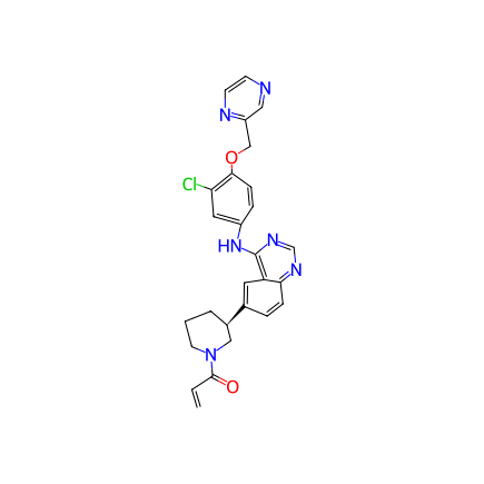 C=CC(=O)N1CCC[C@@H](c2ccc3ncnc(Nc4ccc(OCc5cnccn5)c(Cl)c4)c3c2)C1